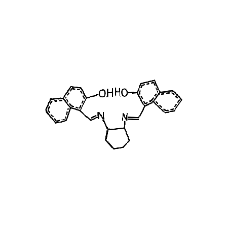 Oc1ccc2ccccc2c1/C=N/C1CCCCC1/N=C/c1c(O)ccc2ccccc12